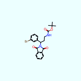 CC(C)(C)OC(=O)NCCC(c1cccc(Br)c1)N1C(=O)c2ccccc2C1=O